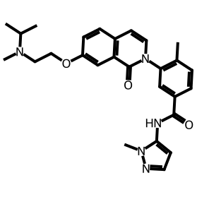 Cc1ccc(C(=O)Nc2ccnn2C)cc1-n1ccc2ccc(OCCN(C)C(C)C)cc2c1=O